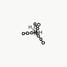 CC1(c2ccccc2)c2cc(C3=NC(c4ccc(-c5ccc(-c6ccccc6)cc5)cc4)=NC(c4ccc(-c5ccc(-c6ccccc6)cc5)cc4)N3)ccc2C2C=CC=CC21